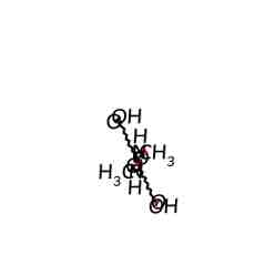 CC(=O)NC(/C=C/CCCCCCCCC(=O)O)CSSCC(/C=C/CCCCCCCCC(=O)O)NC(C)=O